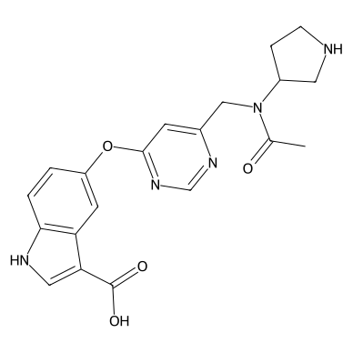 CC(=O)N(Cc1cc(Oc2ccc3[nH]cc(C(=O)O)c3c2)ncn1)C1CCNC1